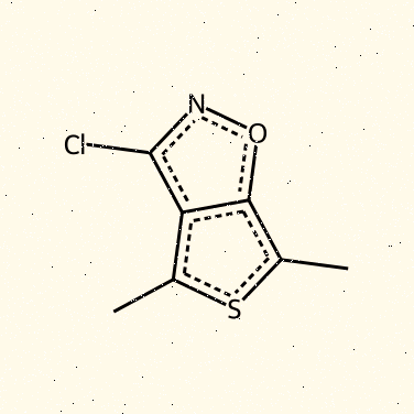 Cc1sc(C)c2c(Cl)noc12